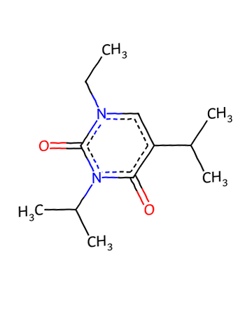 CCn1cc(C(C)C)c(=O)n(C(C)C)c1=O